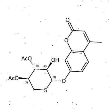 CC(=O)O[C@@H]1[C@@H](O)[C@H](Oc2ccc3c(C)cc(=O)oc3c2)SC[C@H]1OC(C)=O